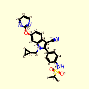 CC(C)S(=O)(=O)Nc1ccc(-c2c(C#N)c3ccc(Oc4ncccn4)cc3n2CC2CC2)cc1